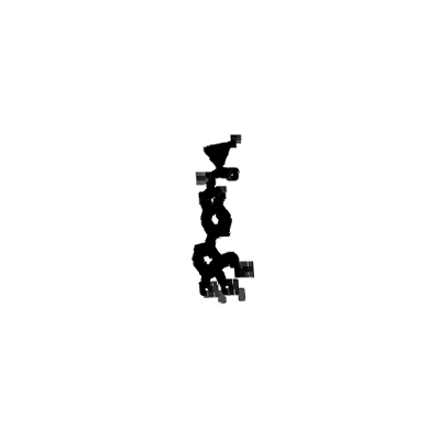 Cc1ccc(-c2ccc3nc(NC(=O)[C@@H]4C[C@@H]4F)sc3c2)c(C=N)c1C